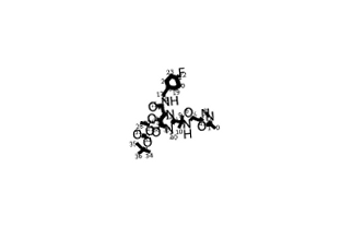 Cc1nnc(C(=O)NC(C)(C)c2nc(C(=O)NCc3ccc(F)cc3)c(OC(C)OC(=O)OC(C)(C)C)c(=O)n2C)o1